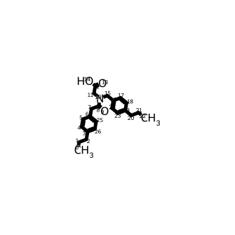 CCCc1ccc(CC(=O)N(CC(=O)O)Cc2ccc(CCC)cc2)cc1